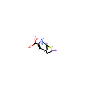 O=C(O)C1=CC2C=C(I)SC2N1